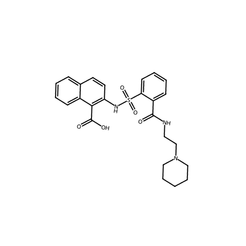 O=C(NCCN1CCCCC1)c1ccccc1S(=O)(=O)Nc1ccc2ccccc2c1C(=O)O